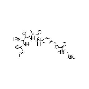 CC(C)[C@H](NC(=O)CI)C(=O)N[C@@H](C)C(=O)Nc1ccc(COC(=O)NCC(C)(C)C)cc1